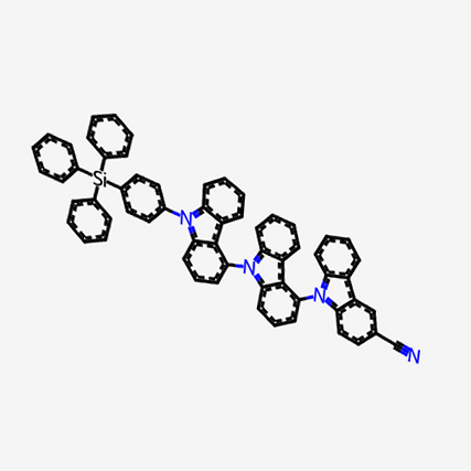 N#Cc1ccc2c(c1)c1ccccc1n2-c1cccc2c1c1ccccc1n2-c1cccc2c1c1ccccc1n2-c1ccc([Si](c2ccccc2)(c2ccccc2)c2ccccc2)cc1